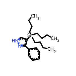 CCC[CH2][Sn]([CH2]CCC)([CH2]CCC)[c]1c[nH]nc1-c1ccccc1